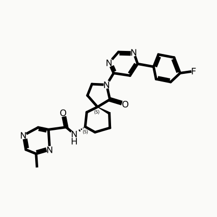 Cc1cncc(C(=O)N[C@H]2CCC[C@]3(CCN(c4cc(-c5ccc(F)cc5)ncn4)C3=O)C2)n1